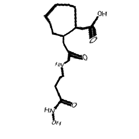 O=C(CCNC(=O)C1CCCCC1C(=O)O)NO